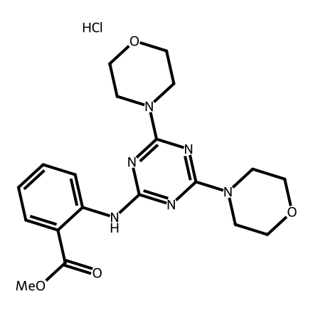 COC(=O)c1ccccc1Nc1nc(N2CCOCC2)nc(N2CCOCC2)n1.Cl